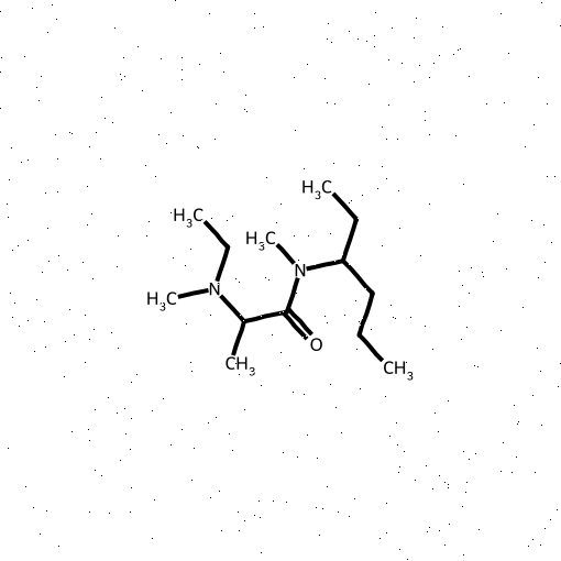 CCCC(CC)N(C)C(=O)C(C)N(C)CC